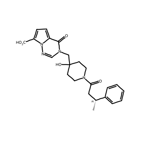 C[C@H](CC(=O)N1CCC(O)(Cn2cnn3c(C(=O)O)ccc3c2=O)CC1)c1ccccc1